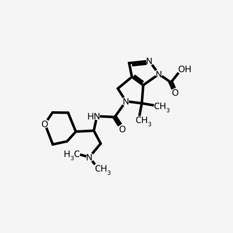 CN(C)CC(NC(=O)N1Cc2cnn(C(=O)O)c2C1(C)C)C1CCOCC1